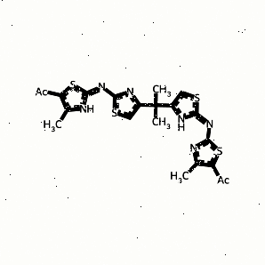 CC(=O)c1sc(/N=c2\[nH]c(C(C)(C)c3csc(/N=c4\[nH]c(C)c(C(C)=O)s4)n3)cs2)nc1C